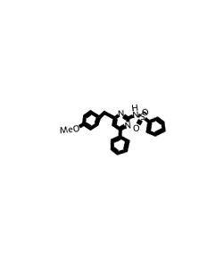 COc1ccc(Cc2cc(-c3ccccc3)nc(NS(=O)(=O)c3ccccc3)n2)cc1